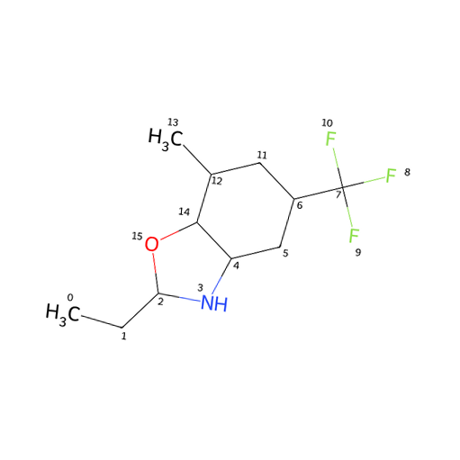 CCC1NC2CC(C(F)(F)F)CC(C)C2O1